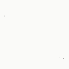 COC(=O)C(C)c1ccc(Sc2ccc(C)cc2CC(=S)N2CCOCC2)cc1